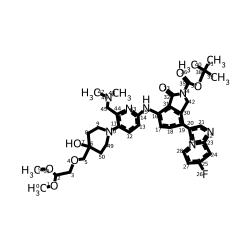 COC(COCC1(O)CCN(c2ccc(Nc3ccc(-c4cnc5cc(F)ccn45)c4c3C(=O)N(C(=O)OC(C)(C)C)C4)nc2CN(C)C)CC1)OC